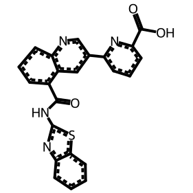 O=C(O)c1cccc(-c2cnc3cccc(C(=O)Nc4nc5ccccc5s4)c3c2)n1